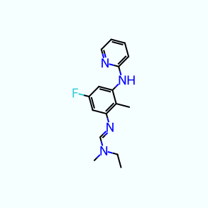 CCN(C)C=Nc1cc(F)cc(Nc2ccccn2)c1C